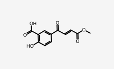 COC(=O)/C=C/C(=O)c1ccc(O)c(C(=O)O)c1